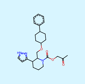 CC(=O)COC(=O)N1CCCC(c2cc[nH]n2)C1COC1CCC(c2ccccc2)CC1